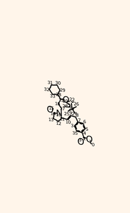 COC(=O)c1ccc(CC=CC2CCC(=O)N2CC[C@H](O[Si](C)(C)C(C)(C)C)C2CCCCC2)cc1